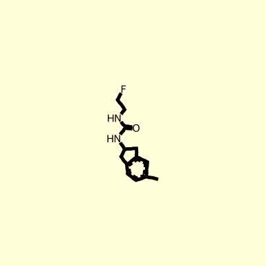 Cc1ccc2c(c1)CC(NC(=O)NCCF)C2